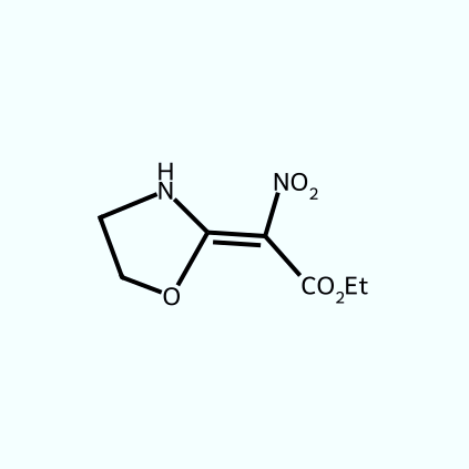 CCOC(=O)C(=C1NCCO1)[N+](=O)[O-]